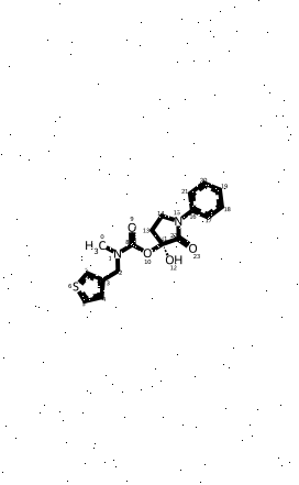 CN(Cc1ccsc1)C(=O)O[C@@]1(O)CCN(c2ccccc2)C1=O